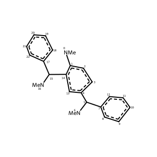 CNc1ccc(C(NC)c2ccccc2)cc1C(NC)c1ccccc1